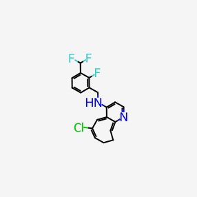 Fc1c(CNc2ccnc3/c2=C\C(Cl)=C/CC/C=3)cccc1C(F)F